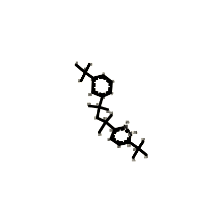 CC(C)(C)c1cccc(C(C)(C)CC(C)(C)c2ccc(C(C)(C)C)nn2)c1